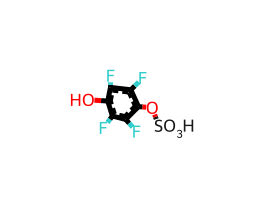 O=S(=O)(O)Oc1c(F)c(F)c(O)c(F)c1F